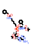 CC(C)(C)OC(=O)N[C@@H](Cc1ccccc1)C(=O)NP(=O)(OCCCCCCNC(=O)OCc1ccccc1)OC[C@H]1O[C@@H](n2cnc3c(N)ncnc32)[C@@H]2OC(C)(C)O[C@@H]21